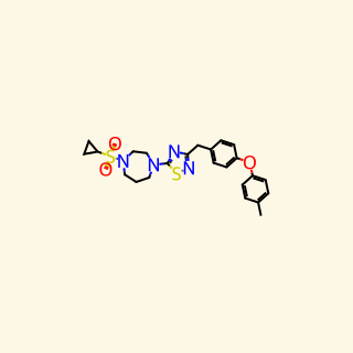 Cc1ccc(Oc2ccc(Cc3nsc(N4CCCN(S(=O)(=O)C5CC5)CC4)n3)cc2)cc1